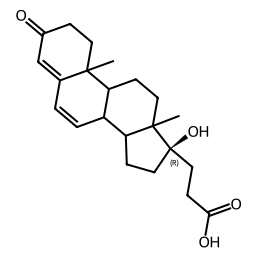 CC12CCC(=O)C=C1C=CC1C2CCC2(C)C1CC[C@@]2(O)CCC(=O)O